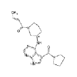 CC=CC(=O)N1CCC[C@@H](Nc2ncnc3[nH]cc(C(=O)N4CCCC4)c23)C1